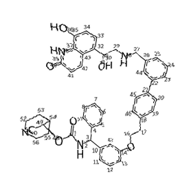 O=C(NC(c1ccccc1)c1cccc(OCCc2ccc(-c3cccc(CNC[C@H](O)c4ccc(O)c5[nH]c(=O)ccc45)c3)cc2)c1)OC1CN2CCC1CC2